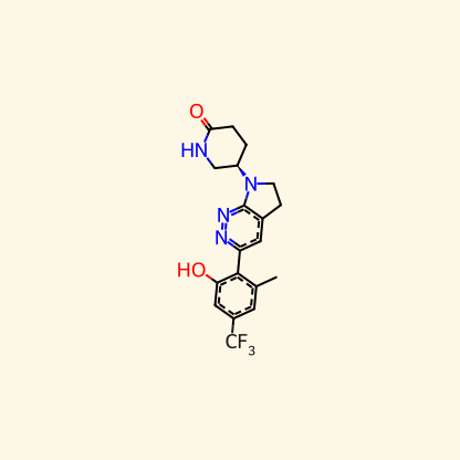 Cc1cc(C(F)(F)F)cc(O)c1-c1cc2c(nn1)N([C@@H]1CCC(=O)NC1)CC2